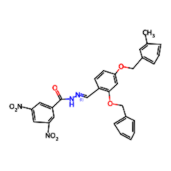 Cc1cccc(COc2ccc(/C=N/NC(=O)c3cc([N+](=O)[O-])cc([N+](=O)[O-])c3)c(OCc3ccccc3)c2)c1